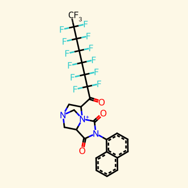 O=C1C2CN3CC(C(=O)C(F)(F)C(F)(F)C(F)(F)C(F)(F)C(F)(F)C(F)(F)C(F)(F)F)[N+]2(C3)C(=O)N1c1cccc2ccccc12